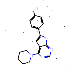 Nc1ccc(-c2cc3c(N4CCCCC4)ncnc3[nH]2)cc1